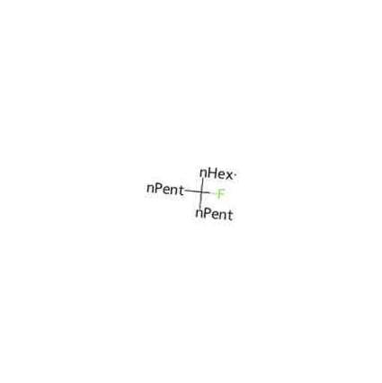 CCCCC[CH]C(F)(CCCCC)CCCCC